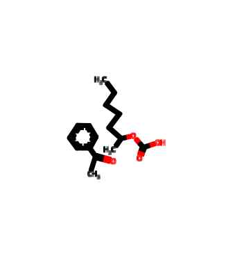 CC(=O)c1ccccc1.CCCCCC(C)OC(=O)O